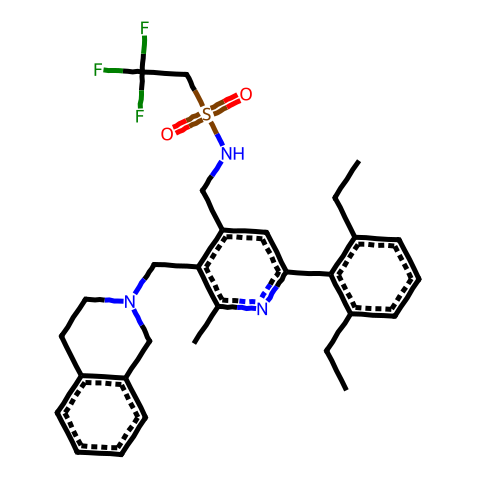 CCc1cccc(CC)c1-c1cc(CNS(=O)(=O)CC(F)(F)F)c(CN2CCc3ccccc3C2)c(C)n1